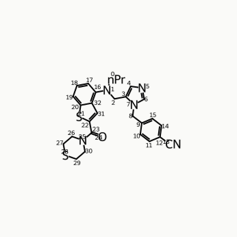 CCCN(Cc1cncn1Cc1ccc(C#N)cc1)c1cccc2sc(C(=O)N3CCSCC3)cc12